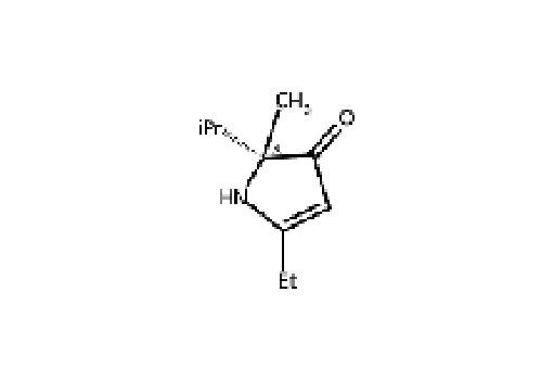 CCC1=CC(=O)[C@@](C)(C(C)C)N1